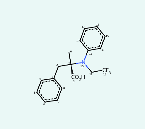 C[C@](Cc1ccccc1)(C(=O)O)N(CC(F)(F)F)c1ccccc1